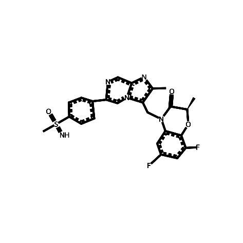 Cc1nc2cnc(-c3ccc(S(C)(=N)=O)cc3)cn2c1CN1C(=O)[C@@H](C)Oc2c(F)cc(F)cc21